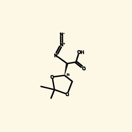 CC1(C)OC[C@@H](C(N=[N+]=[N-])C(=O)O)O1